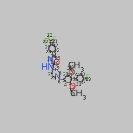 CCOc1cc(CN2CCC(Nc3nc(-c4ccc(C(F)(F)F)cc4)co3)CC2)cc(OCC)c1-c1ccc(F)cc1